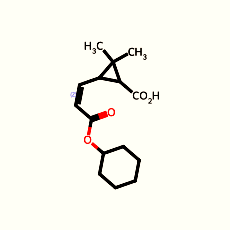 CC1(C)C(/C=C\C(=O)OC2CCCCC2)C1C(=O)O